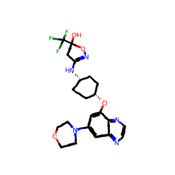 OC1(C(F)(F)F)CC(N[C@H]2CC[C@@H](Oc3cc(N4CCOCC4)cc4nccnc34)CC2)=NO1